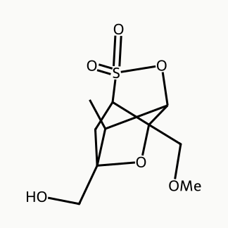 COCC12OC3(CO)CC1S(=O)(=O)OC2C3C